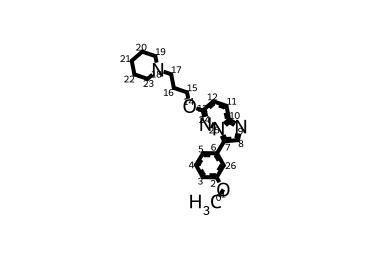 COc1cccc(-c2cnc3ccc(OCCCN4CCCCC4)nn23)c1